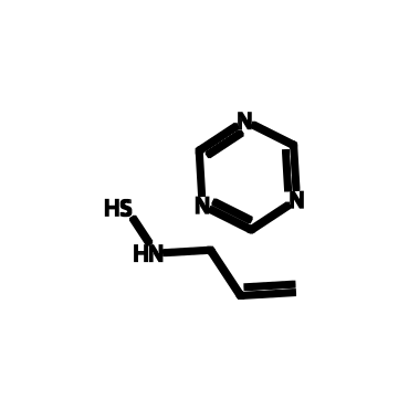 C=CCNS.c1ncncn1